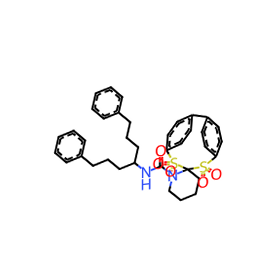 O=C(NC(CCCc1ccccc1)CCCc1ccccc1)N1CCCCC12S(=O)(=O)c1ccc(cc1)-c1ccc(cc1)S2(=O)=O